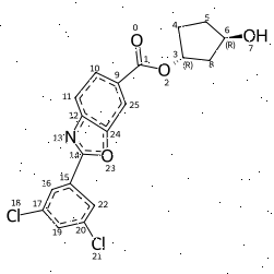 O=C(O[C@@H]1CC[C@@H](O)C1)c1ccc2nc(-c3cc(Cl)cc(Cl)c3)oc2c1